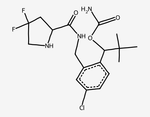 CC(C)(C)C(OC(N)=O)c1ccc(Cl)cc1CNC(=O)C1CC(F)(F)CN1